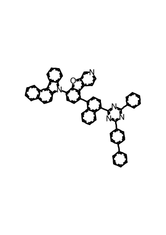 c1ccc(-c2ccc(-c3nc(-c4ccccc4)nc(-c4ccc(-c5ccc(-n6c7ccccc7c7c8ccccc8ccc76)c6oc7cnccc7c56)c5ccccc45)n3)cc2)cc1